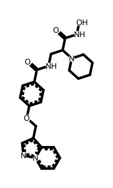 O=C(NCC(C(=O)NO)N1CCCCC1)c1ccc(OCc2cnn3ccccc23)cc1